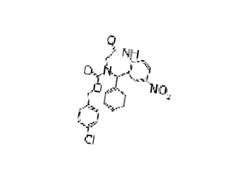 O=C1CN(C(=O)OCc2ccc(Cl)cc2)C(c2ccccc2)c2cc([N+](=O)[O-])ccc2N1